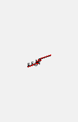 CCCCCCCCCCCc1ccc(-c2ncc(OCCC(F)CCCC(F)CC)cn2)cc1